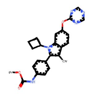 CC(C)OC(=O)Nc1ccc(-c2c(C#N)c3ccc(Oc4ncncn4)cc3n2C2CCC2)cc1